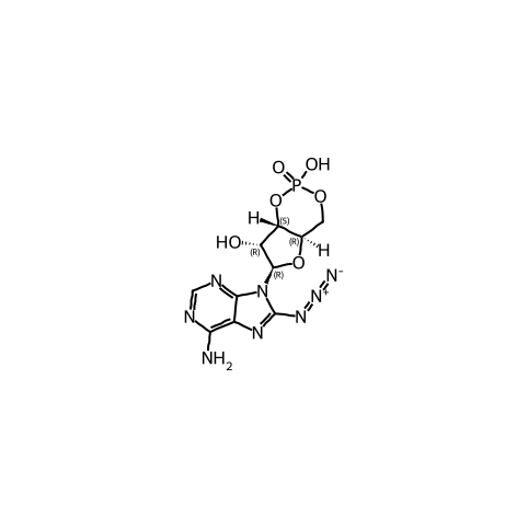 [N-]=[N+]=Nc1nc2c(N)ncnc2n1[C@@H]1O[C@@H]2COP(=O)(O)O[C@H]2[C@H]1O